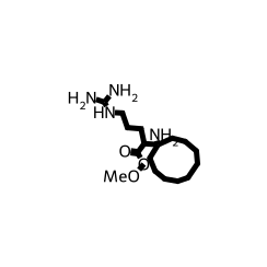 COOC(=O)C(CCCNC(N)N)C1(N)CCCCCCCCC1